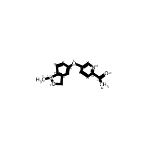 CB1OCc2cc(Oc3ccc(C(C)=O)nc3)ccc21